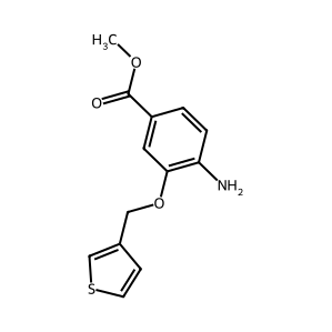 COC(=O)c1ccc(N)c(OCc2ccsc2)c1